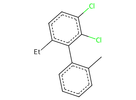 CCc1ccc(Cl)c(Cl)c1-c1ccccc1C